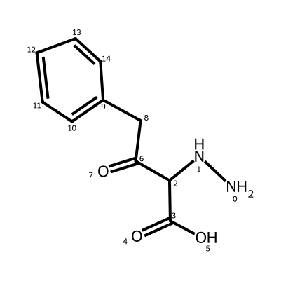 NNC(C(=O)O)C(=O)Cc1ccccc1